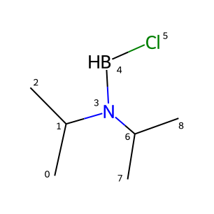 CC(C)N(BCl)C(C)C